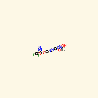 CCC([C@H](C)O)n1ncn(-c2ccc(N3CCN(c4ccc(OCC5CO[C@@](Cn6cncn6)(c6ccc(F)cc6F)C5)cc4)CC3)cc2)c1=O